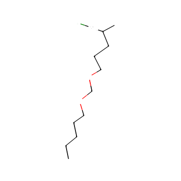 CCCCCOCOCCC[CH](C)[Mg][Br]